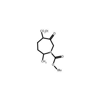 CCOC(=O)C1CCC(C)N(C(=O)OC(C)(C)C)CC1=O